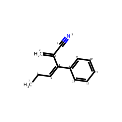 C=C(C#N)/C(=C\CC)c1ccccc1